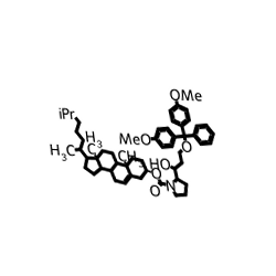 COc1ccc(C(OCCC(O)C2CCCN2C(=O)O[C@@H]2CC[C@]3(C)C(=CCC4C5CCC(C(C)CCCC(C)C)[C@]5(C)CCC43)C2)(c2ccccc2)c2ccc(OC)cc2)cc1